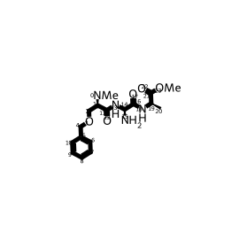 CN[C@H](COCc1ccccc1)C(=O)N[C@H](N)C(=O)N[C@H](C)C(=O)OC